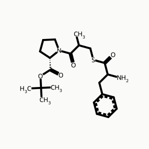 CC(CSC(=O)C(N)Cc1ccccc1)C(=O)N1CCC[C@H]1C(=O)OC(C)(C)C